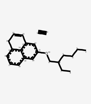 C#C.CCCCC(CC)COc1cc2c3c(cccc3c1)CC=C2